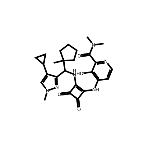 CN(C)C(=O)c1nccc(Nc2c(NC(c3nn(C)cc3C3CC3)C3(C)CCCC3)c(=O)c2=O)c1O